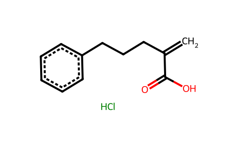 C=C(CCCc1ccccc1)C(=O)O.Cl